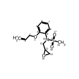 C=CCOc1ccccc1N(CC1CO1)S(C)(=O)=O